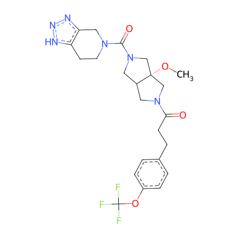 CO[C@]12CN(C(=O)CCc3ccc(OC(F)(F)F)cc3)CC1CN(C(=O)N1CCc3[nH]nnc3C1)C2